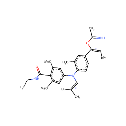 CCC/C=C(/OC(C)=N)c1ccc(N(/C=C(/C)CC)c2cc(OC)c(C(=O)NCC(F)(F)F)c(OC)c2)c(C)c1